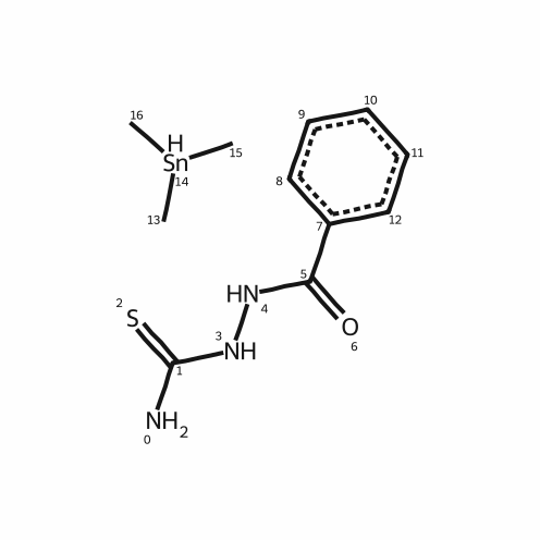 NC(=S)NNC(=O)c1ccccc1.[CH3][SnH]([CH3])[CH3]